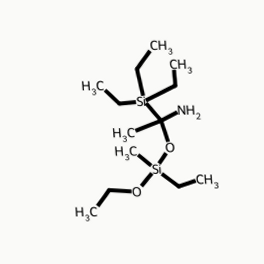 CCO[Si](C)(CC)OC(C)(N)[Si](CC)(CC)CC